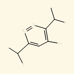 CC(C)c1cc(C(C)I)nnc1C(C)I